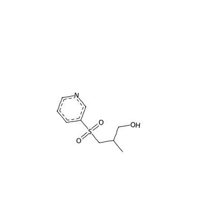 CC(CO)CS(=O)(=O)c1cccnc1